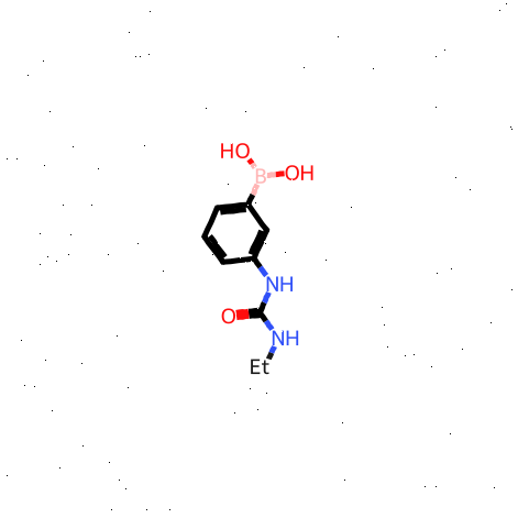 CCNC(=O)Nc1cccc(B(O)O)c1